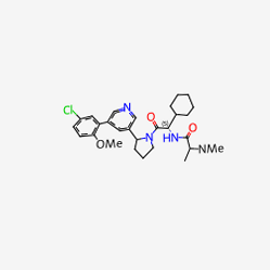 CNC(C)C(=O)N[C@H](C(=O)N1CCCC1c1cncc(-c2cc(Cl)ccc2OC)c1)C1CCCCC1